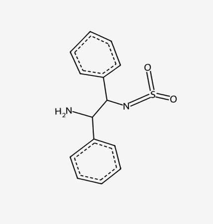 NC(c1ccccc1)C(N=S(=O)=O)c1ccccc1